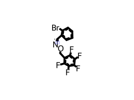 Fc1c(F)c(F)c(CO/N=[C]\c2ccccc2Br)c(F)c1F